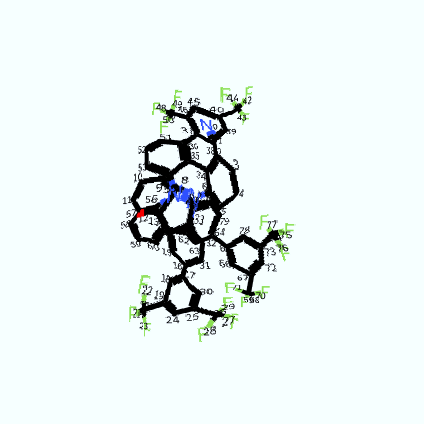 N#Cc1cccc(-n2c3ccccc3c3cc(-c4cc(C(F)(F)F)cc(C(F)(F)F)c4)ccc32)c1-c1c(-c2ccc(C(F)(F)F)cc2C(F)(F)F)cccc1-n1c2ccccc2c2cc(-c3cc(C(F)(F)F)cc(C(F)(F)F)c3)ccc21